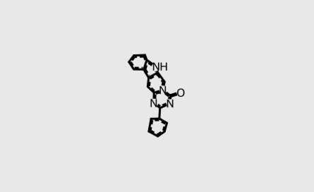 O=c1nc(-c2ccccc2)nc2cc3c(cn12)[nH]c1ccccc13